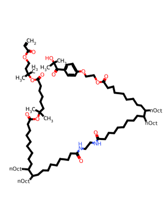 C=CC(=O)OCCC(C)(C)OC(=O)CCCCCC(C)(C)OC(=O)CCCCCCCCC(CCCCCCCC)C(CCCCCCCC)CCCCCCCCC(=O)NCCNC(=O)CCCCCCCCC(CCCCCCCC)C(CCCCCCCC)CCCCCCCCC(=O)OCCOc1ccc(C(=O)C(C)(C)O)cc1